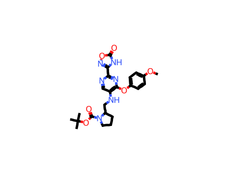 COc1ccc(Oc2nc(-c3noc(=O)[nH]3)ncc2NCC2CCCN2C(=O)OC(C)(C)C)cc1